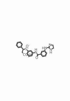 O=C(O)CC(c1ccccc1)[S+]([O-])c1cccc(NC(=O)c2cccc(NC3=NCCN3)c2)c1